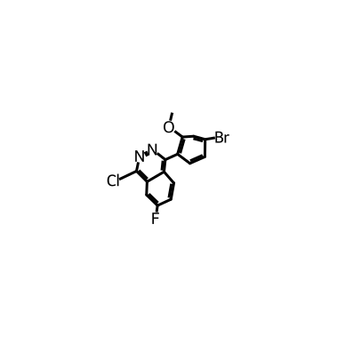 COc1cc(Br)ccc1-c1nnc(Cl)c2cc(F)ccc12